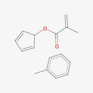 C=C(C)C(=O)OC1C=CC=C1.Cc1ccccc1